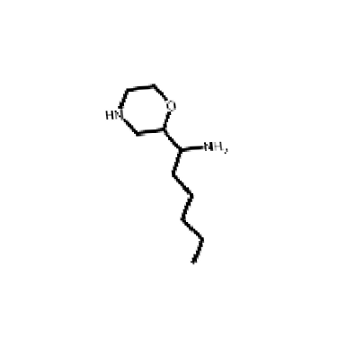 CCCCCC(N)C1CNCCO1